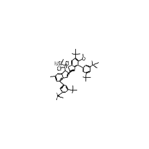 COc1c(C(C)(C)C)cc2c(c1-c1cc(C(C)(C)C)cc(C(C)(C)C)c1)C=C(C)[CH]2[Zr]([Cl])([Cl])([CH]1C(C)=Cc2c(-c3cc(C(C)(C)C)cc(C(C)(C)C)c3)cc(C)cc21)[SiH](C)C